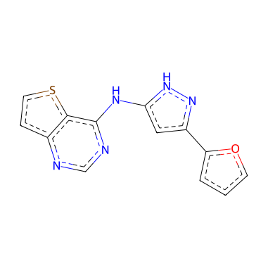 c1coc(-c2cc(Nc3ncnc4ccsc34)[nH]n2)c1